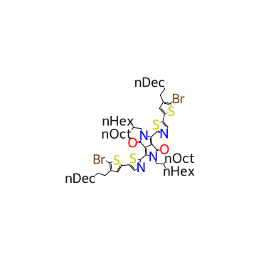 CCCCCCCCCCCCc1cc(-c2cnc(C3=C4C(=O)N(CC(CCCCCC)CCCCCCCC)C(c5ncc(-c6cc(CCCCCCCCCCCC)c(Br)s6)s5)=C4C(=O)N3CC(CCCCCC)CCCCCCCC)s2)sc1Br